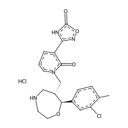 Cc1ccc([C@H]2OCCNC[C@@H]2Cn2cccc(-c3noc(=O)[nH]3)c2=O)cc1Cl.Cl